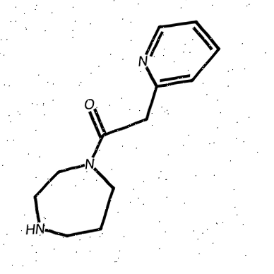 O=C(Cc1ccccn1)N1CCCNCC1